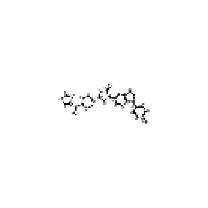 O=C(c1cscn1)N1CCN([C@@H]2CC(=O)N(c3ccc4c(c3)CCN4c3ccc(F)cc3)C2)CC1